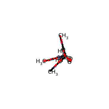 CCCCCCCC/C=C/CCCCCCCO/C=N/CCCOCC(COCCCNCOCCCCCCC/C=C/CCCCCCCC)(COCCCNCOCCCCCCC/C=C/CCCCCCCC)COCCC(=O)ON1C(=O)CCC1=O